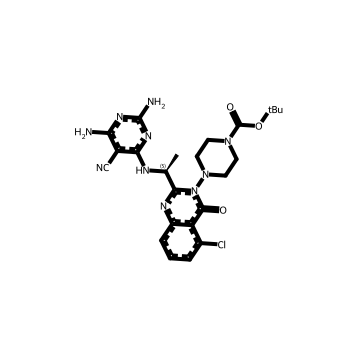 C[C@H](Nc1nc(N)nc(N)c1C#N)c1nc2cccc(Cl)c2c(=O)n1N1CCN(C(=O)OC(C)(C)C)CC1